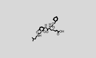 Cc1ccc(NC(=O)C(CC/C=C/C(=O)O)NC(=O)OCc2ccccc2)c(=O)n1CC(=O)NCCC(C)C